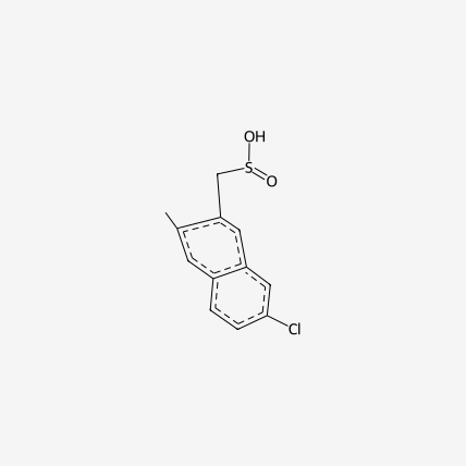 Cc1cc2ccc(Cl)cc2cc1CS(=O)O